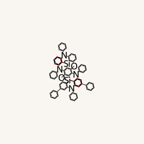 c1ccc(-c2cc3c4c(c2)N(c2ccccc2)c2cc(-c5ccccc5)cc5c2[Si]4(c2ccccc2)c2c(c4c6c(c2N5c2ccccc2)Oc2cccc5c2[Si]6(c2ccccc2)c2c(cccc2N4c2ccccc2)N5c2ccccc2)O3)cc1